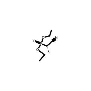 CCOP(=O)(OCC)[C@@H](C)C#N